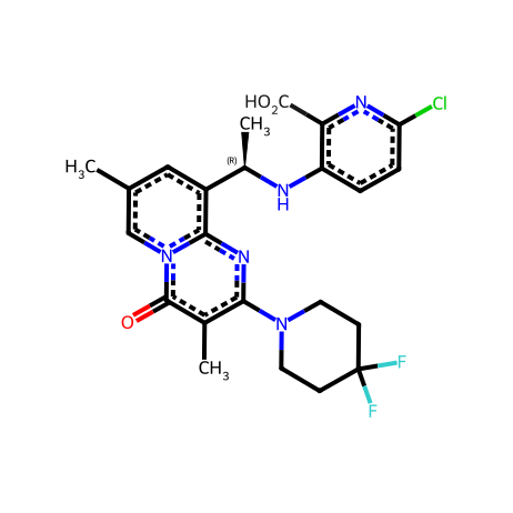 Cc1cc([C@@H](C)Nc2ccc(Cl)nc2C(=O)O)c2nc(N3CCC(F)(F)CC3)c(C)c(=O)n2c1